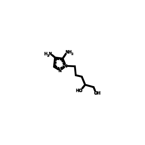 Nc1cnn(CCCC(O)CO)c1N